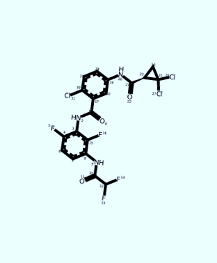 O=C(Nc1c(F)ccc(NC(=O)C(F)F)c1F)c1cc(NC(=O)[C@H]2CC2(Cl)Cl)ccc1Cl